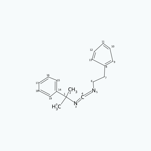 CC(C)(N=C=NCCc1ccccc1)c1ccccc1